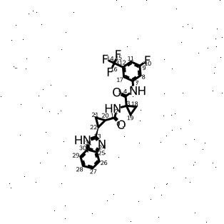 O=C(NC1(C(=O)Nc2cc(F)cc(C(F)(F)F)c2)CC1)C1C[C@@H]1c1nc2ccccc2[nH]1